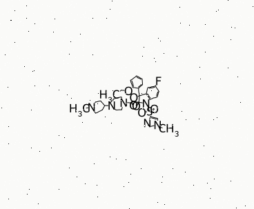 CCOc1ccccc1C1(OC(=O)N2CCN(C3CCN(C)CC3)CC2)C(=O)N(S(=O)(=O)c2cn(C)cn2)c2ccc(F)cc21